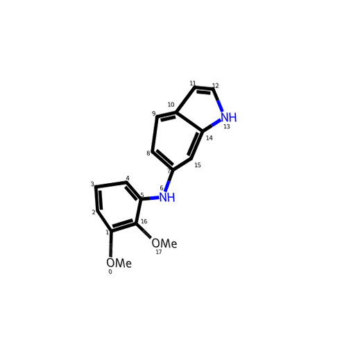 COc1cccc(Nc2ccc3cc[nH]c3c2)c1OC